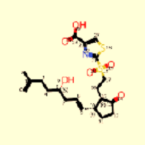 C=C(C)CC[C@H](O)CC=C[C@H]1CCC(=O)[C@@H]1CCS(=O)(=O)c1nc(C(=O)O)cs1